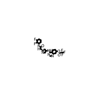 O=C(Cn1cc(Nc2ncnc3cc(OC(=O)C(F)(F)F)ccc23)cn1)Nc1cccc(F)c1F